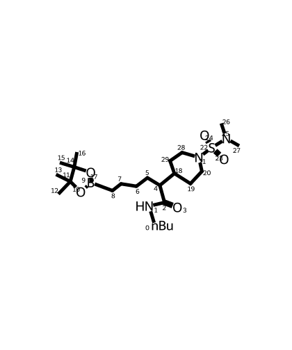 CCCCNC(=O)C(CCCCB1OC(C)(C)C(C)(C)O1)C1CCN(S(=O)(=O)N(C)C)CC1